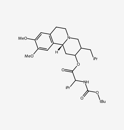 COc1cc2c(cc1OC)[C@H]1CC(OC(=O)C(NC(=O)OC(C)(C)C)C(C)C)C(CC(C)C)CN1CC2